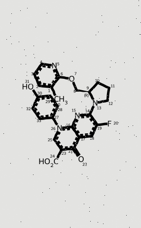 Cc1cccnc1OC[C@H]1CCCN1c1nc2c(cc1F)c(=O)c(C(=O)O)cn2-c1ccc(O)cc1